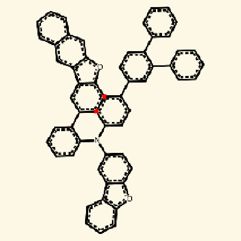 c1ccc(-c2ccc(-c3ccc(N(c4ccc5oc6ccccc6c5c4)c4ccccc4-c4ccc5oc6cc7ccccc7cc6c5c4)cc3)cc2-c2ccccc2)cc1